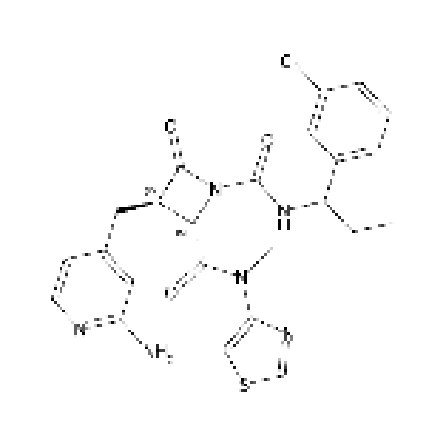 CCC(NC(=O)N1C(=O)[C@H](Cc2ccnc(N)c2)[C@H]1C(=O)N(C)c1cscn1)c1cccc(Cl)c1